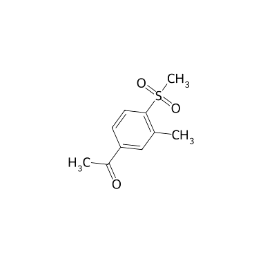 CC(=O)c1ccc(S(C)(=O)=O)c(C)c1